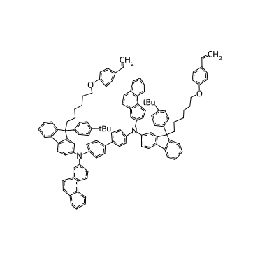 C=Cc1ccc(OCCCCCCC2(c3ccc(C(C)(C)C)cc3)c3ccccc3-c3ccc(N(c4ccc(-c5ccc(N(c6ccc7c(c6)C(CCCCCCOc6ccc(C=C)cc6)(c6ccc(C(C)(C)C)cc6)c6ccccc6-7)c6ccc7c(ccc8ccccc87)c6)cc5)cc4)c4ccc5c(ccc6ccccc65)c4)cc32)cc1